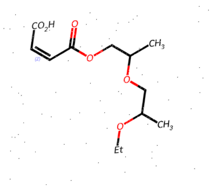 CCOC(C)COC(C)COC(=O)/C=C\C(=O)O